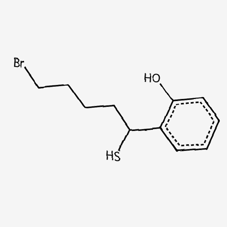 Oc1ccccc1C(S)CCCCBr